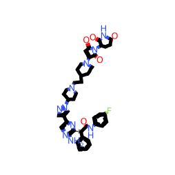 Nc1ncc(-c2cnn(C3CCN(CCC4CCN(C5=CC(=O)N(C6CCC(=O)NC6=O)C5=O)CC4)CC3)c2)nc1[C@H](C(=O)Nc1ccc(F)cc1)c1ccccc1